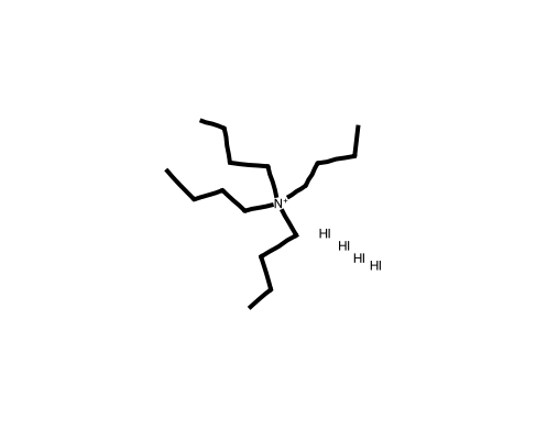 CCCC[N+](CCCC)(CCCC)CCCC.I.I.I.I